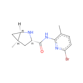 Cc1ccc(Br)nc1NC(=O)[C@@H]1C[C@@]2(C)C[C@H]2N1